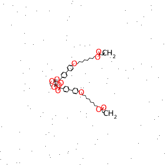 C=CC(=O)OCCCCCCCCOc1ccc(-c2ccc(C(=O)O[C@H]3OCCO[C@@H]3OC(=O)c3ccc(-c4ccc(OCCCCCCCCOC(=O)C=C)cc4)cc3)cc2)cc1